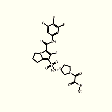 CCNC(=O)C(=O)N1CC[C@@H](NS(=O)(=O)c2c(F)c(C(=O)Nc3cc(F)c(F)c(F)c3)n3c2CCC3)C1